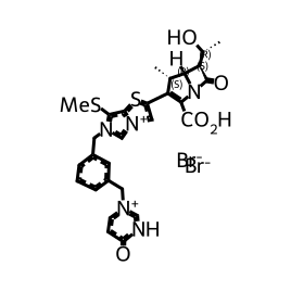 CSc1c2sc(C3=C(C(=O)O)N4C(=O)[C@H]([C@@H](C)O)[C@H]4[C@H]3C)c[n+]2cn1Cc1cccc(C[n+]2ccc(=O)[nH]c2)c1.[Br-].[Br-]